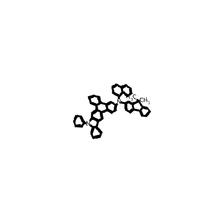 CC1(C)c2ccccc2-c2ccc(N(c3ccc4c(c3)c3ccccc3c3cc5c(cc43)c3ccccc3n5-c3ccccc3)c3cccc4ccccc34)cc21